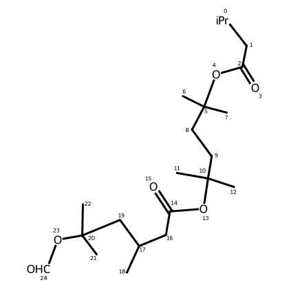 CC(C)CC(=O)OC(C)(C)CCC(C)(C)OC(=O)CC(C)CC(C)(C)OC=O